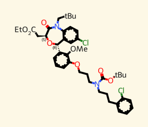 CCOC(=O)C[C@@H]1O[C@@H](c2cccc(OCCCN(CCCc3ccccc3Cl)C(=O)OC(C)(C)C)c2OC)c2cc(Cl)ccc2N(CC(C)(C)C)C1=O